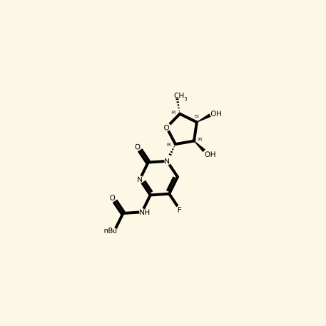 CCCCC(=O)Nc1nc(=O)n([C@@H]2O[C@H](C)[C@@H](O)[C@H]2O)cc1F